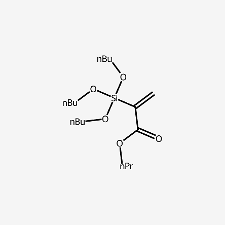 C=C(C(=O)OCCC)[Si](OCCCC)(OCCCC)OCCCC